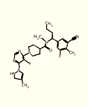 CCCC(c1cc(F)c(C)c(C#N)c1)N(C)C(=O)C1CCN(c2ncnc(N3C=C(C)CN3)c2F)CC1